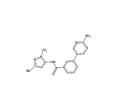 Cn1nc(C(C)(C)C)cc1NC(=O)c1cccc(-c2cnc(N)nc2)c1